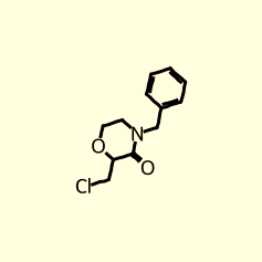 O=C1C(CCl)OCCN1Cc1ccccc1